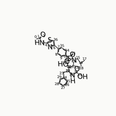 CC(=O)Nc1nc(-c2ccc(S(=O)(=O)N(CC(C)C)C[C@@H](O)[C@H](Cc3ccccc3)NC(=O)O)cc2)cs1